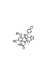 CC(C)Oc1cc(C#N)ccc1C1=N[C@@H](c2ccc(Cl)cc2)[C@@H](c2cccs2)N1C(=O)N1CCNC(=O)C1